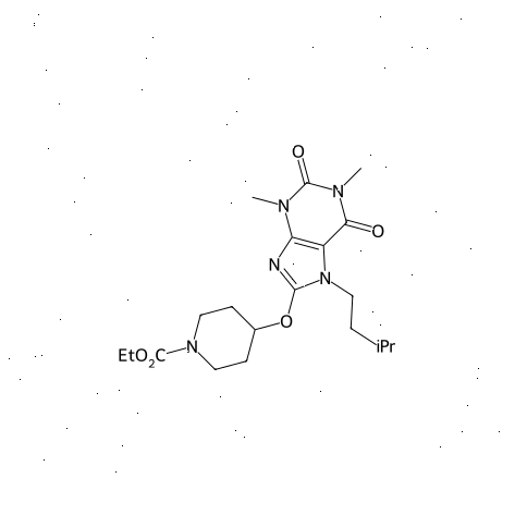 CCOC(=O)N1CCC(Oc2nc3c(c(=O)n(C)c(=O)n3C)n2CCC(C)C)CC1